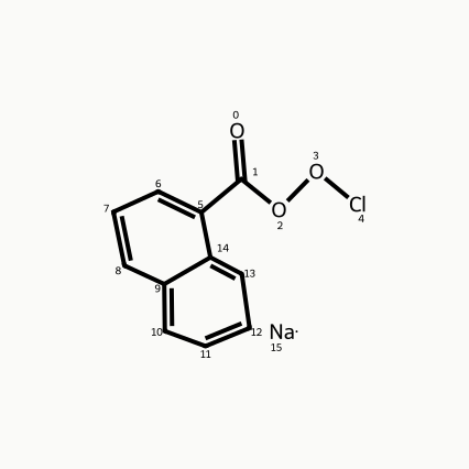 O=C(OOCl)c1cccc2ccccc12.[Na]